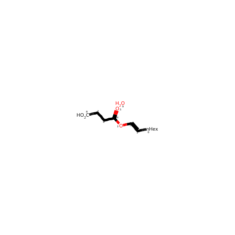 CCCCCCC=COC(=O)CCC(=O)O.O